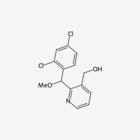 COC(c1ccc(Cl)cc1Cl)c1ncccc1CO